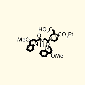 CCOC(=O)N1CCN(C(=O)CNC(=O)c2cc(OC)c3ccccc3n2)CC1CC(=O)O.COc1ccnc2ccccc12